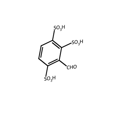 O=Cc1c(S(=O)(=O)O)ccc(S(=O)(=O)O)c1S(=O)(=O)O